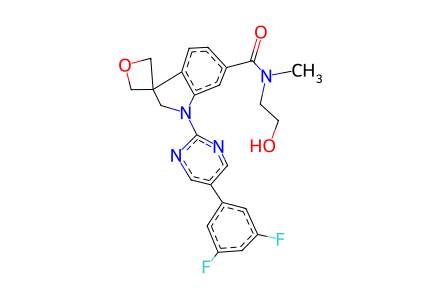 CN(CCO)C(=O)c1ccc2c(c1)N(c1ncc(-c3cc(F)cc(F)c3)cn1)CC21COC1